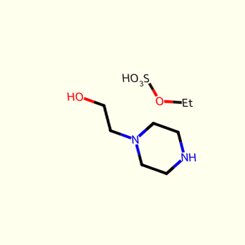 CCOS(=O)(=O)O.OCCN1CCNCC1